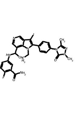 CCn1c(-c2ccc(-n3c(C)nn(C)c3=O)cc2)c(I)c2cncc(C(O)Nc3ccc(F)c(C(N)=O)c3)c21